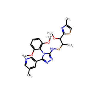 COc1cccc(OC)c1-n1c(NSC(C)C(OC)c2nc(C)cs2)nnc1-c1cncc(C)c1